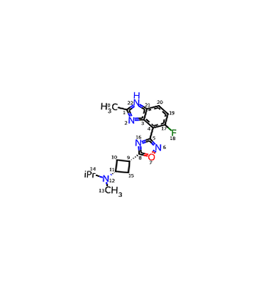 Cc1nc2c(-c3noc([C@H]4C[C@@H](N(C)C(C)C)C4)n3)c(F)ccc2[nH]1